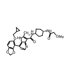 COCC(=O)N[C@H]1CC[C@@H](NC(=O)c2c(C)[nH]c3c(-c4c(OCC5CC5)ccc5c4OCO5)ncnc23)CC1